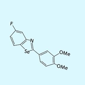 COc1ccc(-c2nc3cc(F)ccc3[se]2)cc1OC